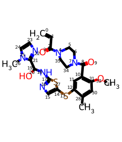 C=CC(=O)N1CCN(C(=O)c2cc(Sc3cnc(NC(O)c4nccn4C)s3)c(C)cc2OC)CC1